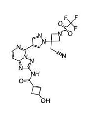 N#CCC1(n2cc(-c3nccc4nc(NC(=O)C5CC(O)C5)nn34)cn2)CN(S(=O)(=O)C(F)(F)F)C1